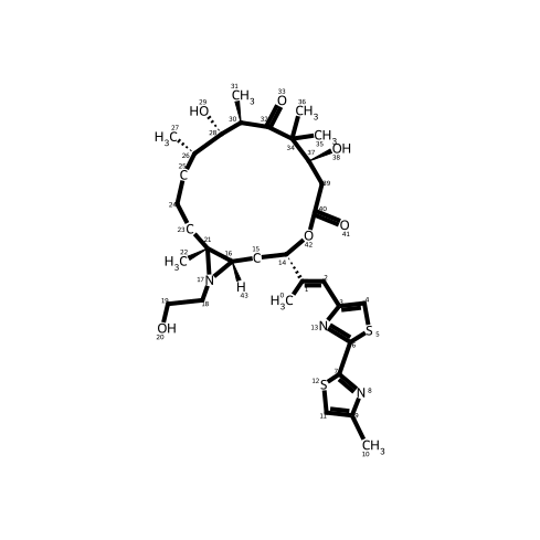 C/C(=C\c1csc(-c2nc(C)cs2)n1)[C@@H]1C[C@@H]2N(CCO)[C@]2(C)CCC[C@H](C)[C@H](O)[C@@H](C)C(=O)C(C)(C)[C@@H](O)CC(=O)O1